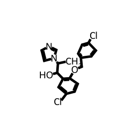 CC(C(O)c1cc(Cl)ccc1OCc1ccc(Cl)cc1)n1ccnc1